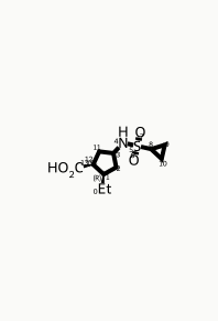 CC[C@@H]1CC(NS(=O)(=O)C2CC2)C[C@@H]1C(=O)O